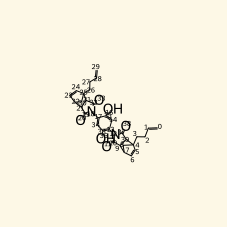 C=CCCC12C=CC(C1)C1C(=O)N(c3cc(O)c(N4C(=O)C5C6C=CC(CCC=C)(C6)C5C4=O)cc3O)C(=O)C12